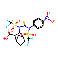 O=C(O)C1C2CCC(C2)C1N(C(=S)N(c1ccc([N+](=O)[O-])cc1)S(=O)(=O)C(F)(F)F)S(=O)(=O)C(F)(F)F